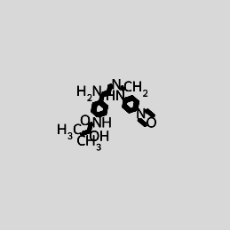 C=C(/N=C\C=C(/N)c1ccc(NC(=O)[C@H](O)C(C)C)cc1)Nc1ccc(N2CCOCC2)cc1